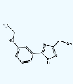 CCNc1cc(-c2nc(CO)n[nH]2)ccn1